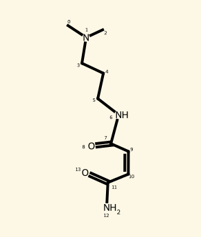 CN(C)CCCNC(=O)/C=C\C(N)=O